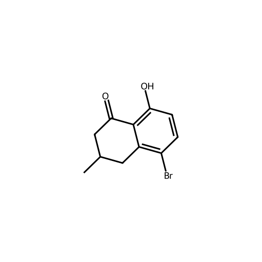 CC1CC(=O)c2c(O)ccc(Br)c2C1